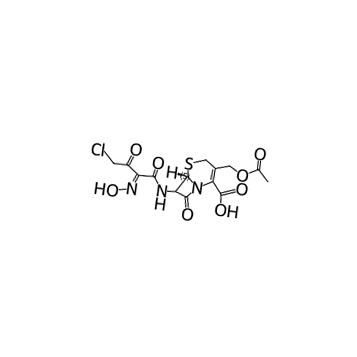 CC(=O)OCC1=C(C(=O)O)N2C(=O)C(NC(=O)C(=NO)C(=O)CCl)[C@@H]2SC1